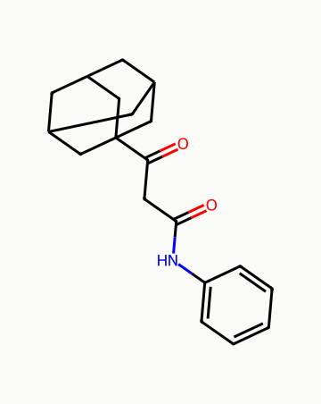 O=C(CC(=O)C12CC3CC(CC(C3)C1)C2)Nc1ccccc1